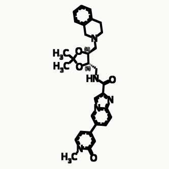 Cn1ccc(-c2ccc3nc(C(=O)NC[C@@H]4OC(C)(C)O[C@H]4CN4CCc5ccccc5C4)cn3c2)cc1=O